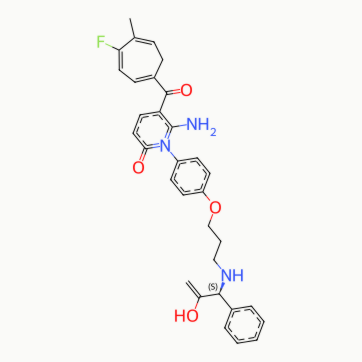 C=C(O)[C@@H](NCCCOc1ccc(-n2c(N)c(C(=O)C3=CC=C(F)C(C)=CC3)ccc2=O)cc1)c1ccccc1